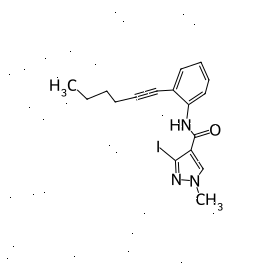 CCCCC#Cc1ccccc1NC(=O)c1cn(C)nc1I